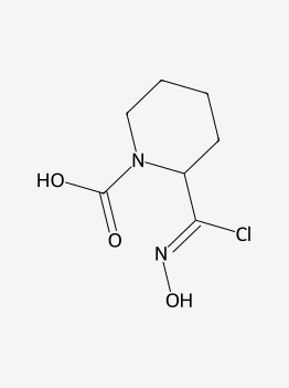 O=C(O)N1CCCCC1C(Cl)=NO